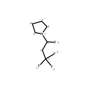 FC(CC(F)(F)F)N1CCCC1